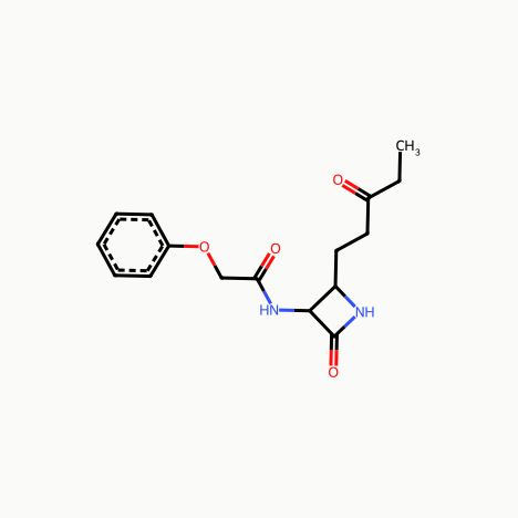 CCC(=O)CCC1NC(=O)C1NC(=O)COc1ccccc1